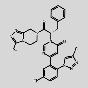 CC(C)c1nnc2n1CCN(C(=O)[C@H](Cc1ccccc1)n1cnc(-c3cc(Cl)ccc3-n3cc(Cl)nn3)cc1=O)C2